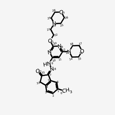 Cc1ccc2c(c1)/C(=N/Nc1cc(N3CCOCC3)nc(OCCN3CCOCC3)n1)C(=O)C2